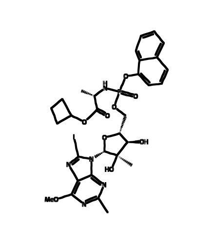 COc1nc(C)nc2c1nc(I)n2[C@@H]1O[C@H](COP(=O)(N[C@@H](C)C(=O)OC2CCC2)Oc2cccc3ccccc23)[C@@H](O)[C@@]1(C)O